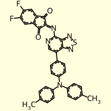 Cc1ccc(N(c2ccc(C)cc2)c2ccc(-c3cnc(N=c4c(=O)c5cc(F)c(F)cc5c4=O)c4nsnc34)cc2)cc1